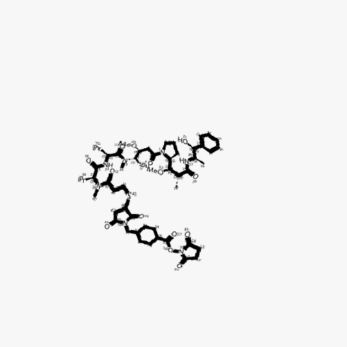 CC[C@H](C)[C@@H]([C@@H](CC(=O)N1CCC[C@H]1[C@H](OC)[C@@H](C)C(=O)N[C@H](C)[C@@H](O)c1ccccc1)OC)N(C)C(=O)[C@@H](NC(=O)[C@H](C(C)C)N(C)C(=O)CCSC1CC(=O)N(CC2CCC(C(=O)ON3C(=O)CCC3=O)CC2)C1=O)C(C)C